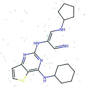 N=C/C(=C\NC1CCCC1)Nc1nc(NC2CCCCC2)c2sccc2n1